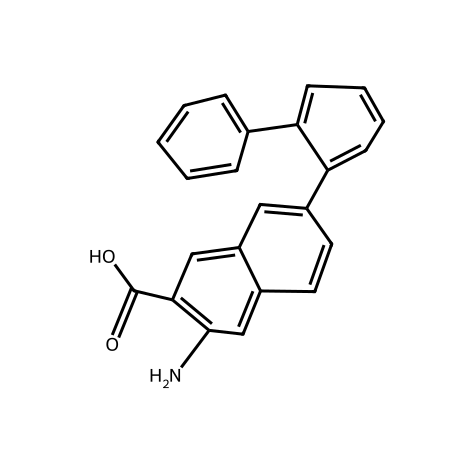 Nc1cc2ccc(-c3ccccc3-c3ccccc3)cc2cc1C(=O)O